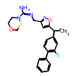 CC(c1ccc(-c2ccccc2)c(F)c1)c1cc(CN=C(N)N2CCOCS2)no1